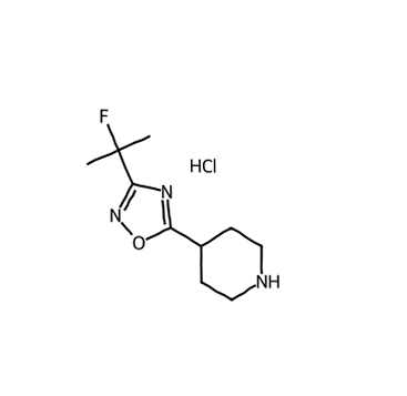 CC(C)(F)c1noc(C2CCNCC2)n1.Cl